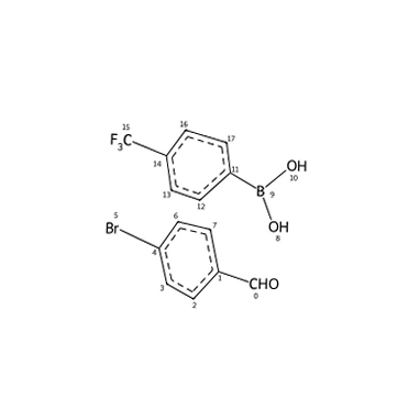 O=Cc1ccc(Br)cc1.OB(O)c1ccc(C(F)(F)F)cc1